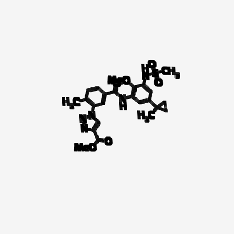 COC(=O)c1cn(-c2cc(C(=O)Nc3cc(C4(C)CC4)cc(NS(C)(=O)=O)c3OC)ccc2C)nn1